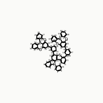 c1ccc(-n2c3ccccc3c3cc(-c4cccc(-c5cc6c7c(c5)Oc5ccccc5B7c5ccccc5O6)c4)c4sc5c(-c6cccc(-c7cc8c9c(c7)Oc7ccccc7B9c7ccccc7O8)c6)cccc5c4c32)cc1